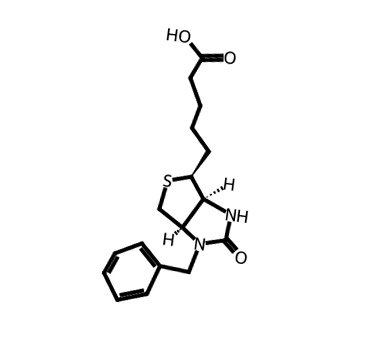 O=C(O)CCCC[C@@H]1SC[C@H]2[C@@H]1NC(=O)N2Cc1ccccc1